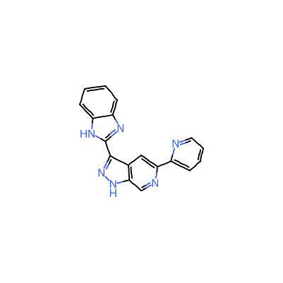 c1ccc(-c2cc3c(-c4nc5ccccc5[nH]4)n[nH]c3cn2)nc1